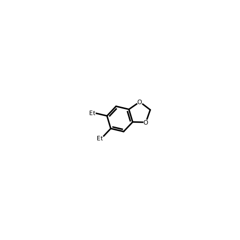 CCc1cc2c(cc1CC)OCO2